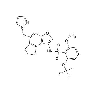 COc1cccc(OC(F)(F)F)c1S(=O)(=O)Nc1noc2cc(Cn3cccn3)c3c(c12)OCC3